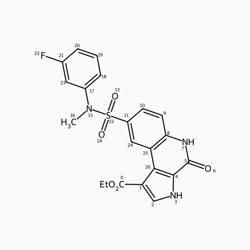 CCOC(=O)c1c[nH]c2c(=O)[nH]c3ccc(S(=O)(=O)N(C)c4cccc(F)c4)cc3c12